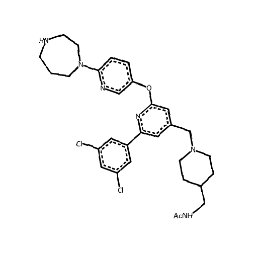 CC(=O)NCC1CCN(Cc2cc(Oc3ccc(N4CCCNCC4)nc3)nc(-c3cc(Cl)cc(Cl)c3)c2)CC1